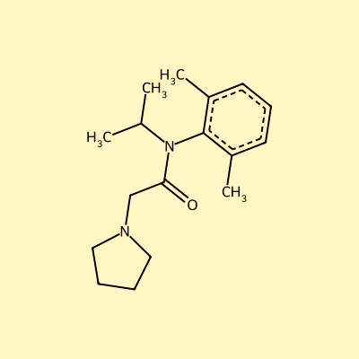 Cc1cccc(C)c1N(C(=O)CN1CCCC1)C(C)C